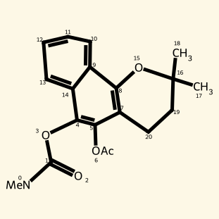 CNC(=O)Oc1c(OC(C)=O)c2c(c3ccccc13)OC(C)(C)CC2